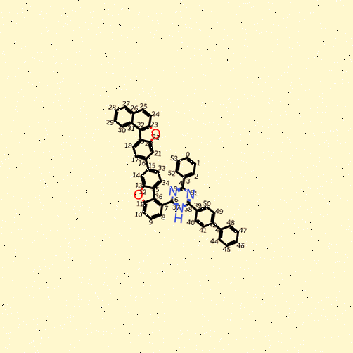 c1ccc(C2=NC(c3cccc4oc5cc(-c6ccc7c(c6)oc6ccc8ccccc8c67)ccc5c34)NC(c3ccc(-c4ccccc4)cc3)=N2)cc1